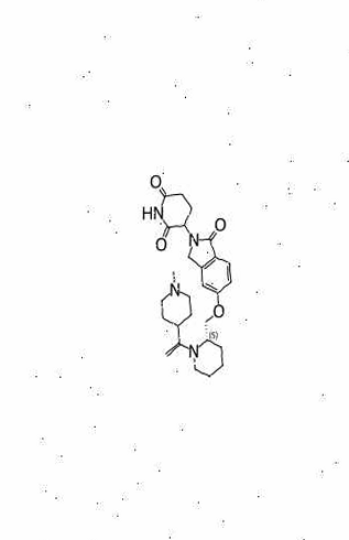 C=C(C1CCN(C)CC1)N1CCCC[C@H]1COc1ccc2c(c1)CN(C1CCC(=O)NC1=O)C2=O